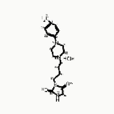 Cc1ccc(N2CCN(CCCCN3C(=O)CNC3=O)CC2)cc1.Cl